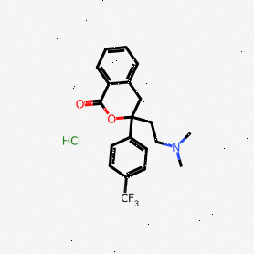 CN(C)CCC1(c2ccc(C(F)(F)F)cc2)Cc2ccccc2C(=O)O1.Cl